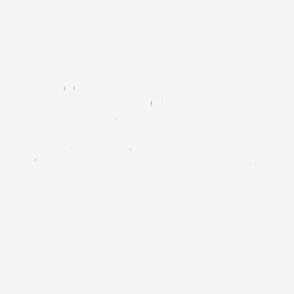 CC1CC(C)(C)C(=O)C2OC12Cc1ccccc1Cl